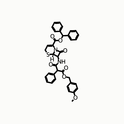 COc1ccc(COC(=O)C(C(=O)NC2C(=O)N3C(C(=O)OC(c4ccccc4)c4ccccc4)=CCS[C@@H]23)c2ccccc2)cc1